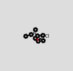 Clc1ccc2c(c1)[Si](c1ccccc1)(c1ccccc1)c1c-2cc(N(c2ccccc2)c2ccc(-c3ccccc3)cc2)c2ccccc12